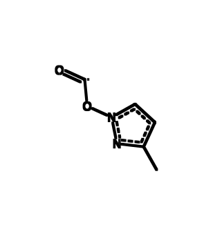 Cc1ccn(O[C]=O)n1